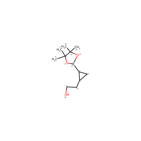 CC1(C)OB(C2CC2CCO)OC1(C)C